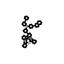 c1ccc(-c2cccc(N(c3ccc(-c4ccc5ccccc5c4)cc3)c3cccc(-c4cccc5c4-c4ccccc4C54c5ccc6ccccc6c5Oc5c4ccc4ccccc54)c3)c2)cc1